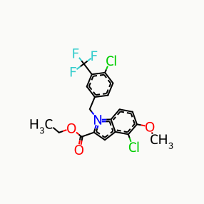 CCOC(=O)c1cc2c(Cl)c(OC)ccc2n1Cc1ccc(Cl)c(C(F)(F)F)c1